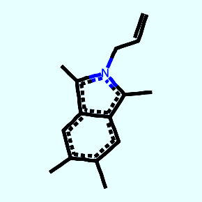 C=CCn1c(C)c2cc(C)c(C)cc2c1C